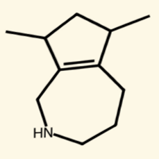 CC1CC(C)C2=C1CCCNC2